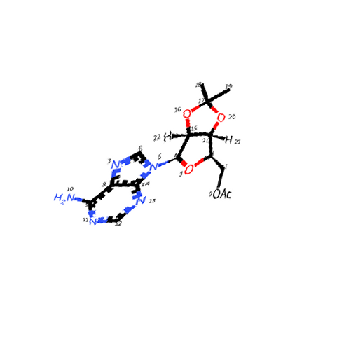 CC(=O)OC[C@H]1O[C@@H](n2cnc3c(N)ncnc32)[C@@H]2OC(C)(C)O[C@@H]21